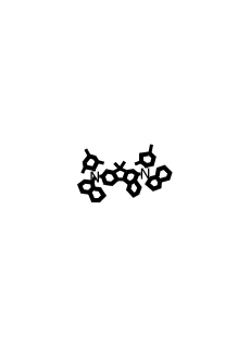 Cc1ccc(N(c2cccc3ccccc23)c2cc3c(c4ccccc24)-c2ccc(N(c4c(C)cc(C)cc4C)c4cccc5ccccc45)cc2C3(C)C)c(C)c1